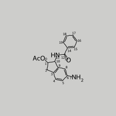 CC(=O)OC1Cc2ccc(N)cc2C1NC(=O)c1ccccc1